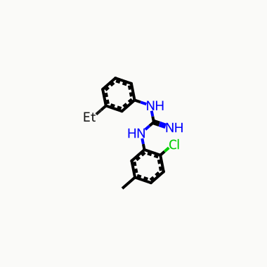 CCc1cccc(NC(=N)Nc2cc(C)ccc2Cl)c1